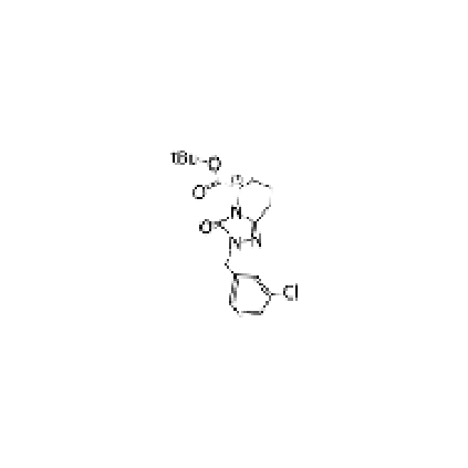 CC(C)(C)OC(=O)[C@@H]1CCCc2nn(Cc3cccc(Cl)c3)c(=O)n21